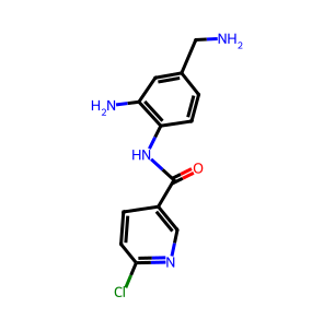 NCc1ccc(NC(=O)c2ccc(Cl)nc2)c(N)c1